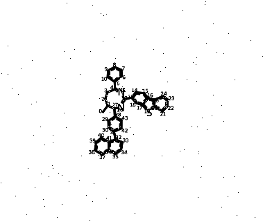 CC1CC/C(c2ccccc2)=N\C(c2ccc3c(c2)sc2ccccc23)=N/C1c1ccc(-c2cccc3ccccc23)cc1